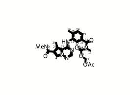 CNC(=O)c1cn2ncnc(Nc3cc(C(=O)N(C)C(=O)OCOC(C)=O)ccc3C)c2c1C